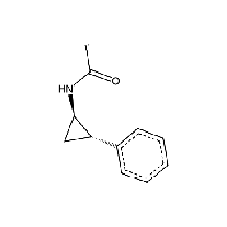 [CH2]C(=O)N[C@@H]1C[C@H]1c1ccccc1